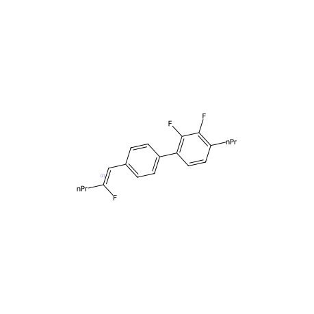 CCC/C(F)=C/c1ccc(-c2ccc(CCC)c(F)c2F)cc1